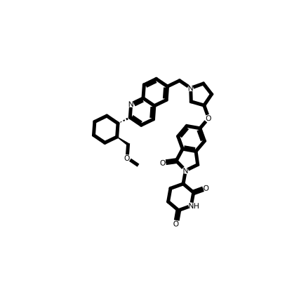 COC[C@H]1CCCC[C@@H]1c1ccc2cc(CN3CCC(Oc4ccc5c(c4)CN(C4CCC(=O)NC4=O)C5=O)C3)ccc2n1